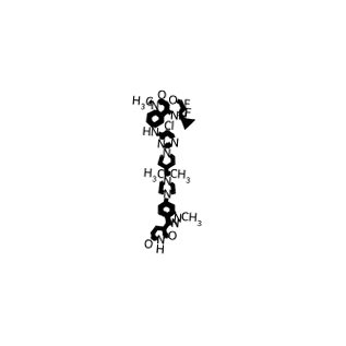 Cn1nc(C2CCC(=O)NC2=O)c2ccc(N3CCN(C(C)(C)C4CCN(c5ncc(Cl)c(Nc6ccc7c(c6)c6c(c(=O)n7C)OCC(F)(F)C(C7CC7)N6)n5)CC4)CC3)cc21